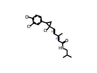 CC(/C=C/C1(Cl)CC1c1ccc(Cl)c(Cl)c1)=C\C(=O)NCC(C)C